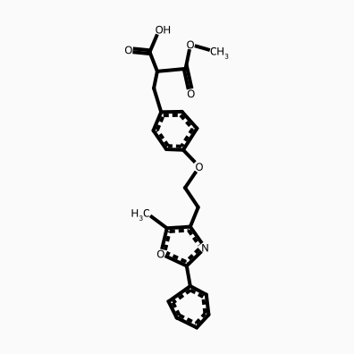 COC(=O)C(Cc1ccc(OCCc2nc(-c3ccccc3)oc2C)cc1)C(=O)O